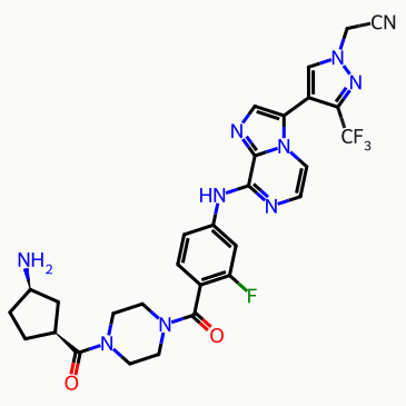 N#CCn1cc(-c2cnc3c(Nc4ccc(C(=O)N5CCN(C(=O)[C@H]6CC[C@@H](N)C6)CC5)c(F)c4)nccn23)c(C(F)(F)F)n1